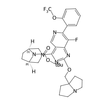 CC(C)(C)OC(=O)N1[C@@H]2CC[C@H]1CN(c1nc(OCC34CCCN3CCC4)nc3c(F)c(-c4ccccc4OC(F)(F)F)ncc13)C2